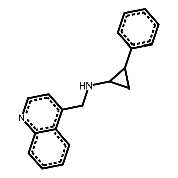 c1ccc(C2CC2NCc2ccnc3ccccc23)cc1